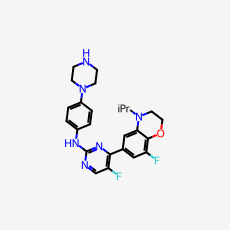 CC(C)N1CCOc2c(F)cc(-c3nc(Nc4ccc(N5CCNCC5)cc4)ncc3F)cc21